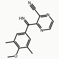 COc1c(C)cc(C(=N)c2nccnc2C#N)cc1C